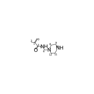 C=C(C)C(=O)NCN1CCNCC1